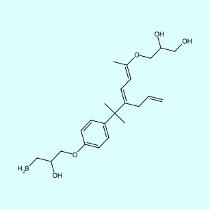 BCC(O)COc1ccc(C(C)(C)/C(=C/C=C(\C)OCC(O)CO)CC=C)cc1